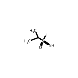 CC(C)S(=N)(=O)I